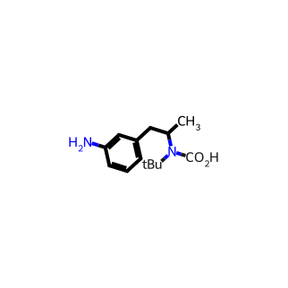 CC(Cc1cccc(N)c1)N(C(=O)O)C(C)(C)C